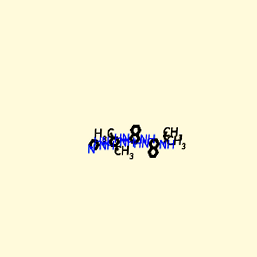 CCC(C)Nc1ccc(NNc2ccc(NNc3cc(C)c(NNc4cccnc4)cc3C)c3ccccc23)c2ccccc12